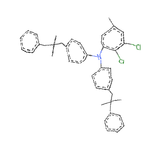 Cc1cc(Cl)c(Cl)c(N(c2ccc(C(C)(C)c3ccccc3)cc2)c2ccc(C(C)(C)c3ccccc3)cc2)c1